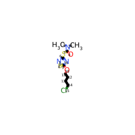 CN(C)C(=O)Sc1nsc(OCCCCCl)n1